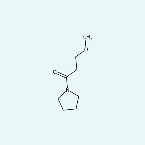 COCCC(=O)N1CCCC1